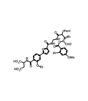 CCCCCC(C(=O)NCNC(=O)c1ccc(-c2ccc(C(=O)NC(CC(=O)O)C(=O)O)c(OCC)c2)o1)[C@@H](CC)N(C=O)OC(=O)c1ccc(OC)cc1C(C)C